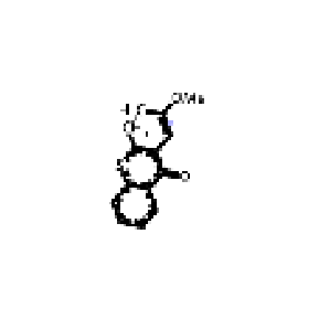 CO/C(C)=C/c1c(C)sc2ccccc2c1=O